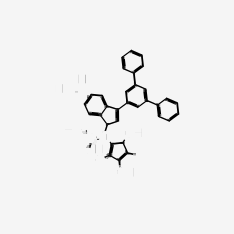 CC1=C(C)C(C)[C]([Zr]([CH]2C=C(c3cc(-c4ccccc4)cc(-c4ccccc4)c3)c3ccccc32)=[Si](C)C)=C1C.Cl.Cl